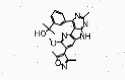 COc1nc2c(cc1-c1c(C)noc1C)[nH]c1nc(C)nc(-c3cccc(C(C)(C)O)c3)c12